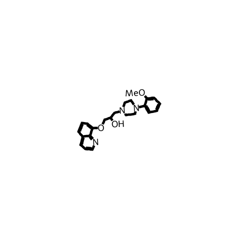 COc1ccccc1N1CCN(CC(O)COc2cccc3cccnc23)CC1